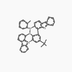 Cc1ccccc1N1B2c3c(cc(C(C)(C)C)cc3-n3c4ccccc4c4cccc2c43)-c2c1ccc1c2sc2ccccc21